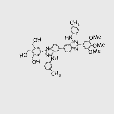 COc1cc(-c2nc(Nc3cccc(C)c3)c3cc(-c4ccc5nc(-c6cc(CO)c(CO)c(CO)c6)nc(Nc6cccc(C)c6)c5c4)ccc3n2)cc(OC)c1OC